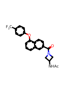 CC(=O)NC1CN(C(=O)c2ccc3c(Oc4ccc(C(F)(F)F)cc4)cccc3c2)C1